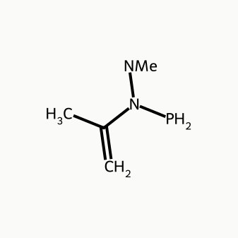 C=C(C)N(P)NC